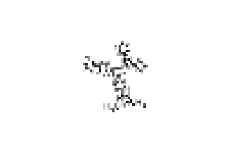 CC1=CC(C)=NC(c2ccc(-c3cc(C4=NC(c5ccccc5)=CC(c5ccccc5)N4)cc(-c4ccc(C5=CC=CCC5)cc4)c3)cc2)N1